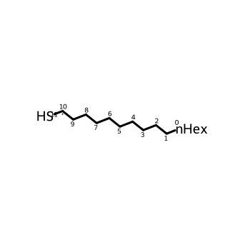 CCCCCCCCCCCCCCC[CH]S